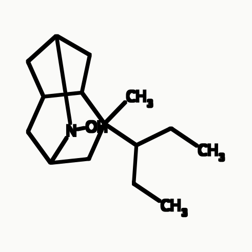 CCC(CC)C1(C)CC2CC3CC(CC31)N2O